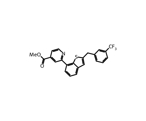 COC(=O)c1ccnc(-c2cccc3cc(Cc4cccc(C(F)(F)F)c4)sc23)c1